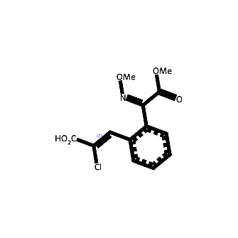 CON=C(C(=O)OC)c1ccccc1/C=C(\Cl)C(=O)O